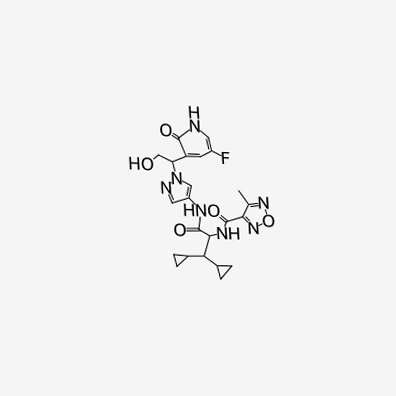 Cc1nonc1C(=O)NC(C(=O)Nc1cnn(C(CO)c2cc(F)c[nH]c2=O)c1)C(C1CC1)C1CC1